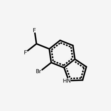 FC(F)c1ccc2cc[nH]c2c1Br